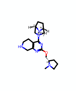 CN1CCC[C@H]1COc1nc2c(c(N3C[C@H]4CC[C@@H](C3)N4C(=O)O)n1)CCNC2